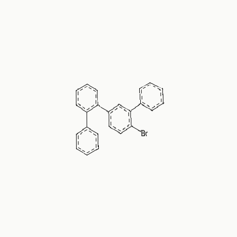 Brc1ccc(-c2ccccc2-c2ccccc2)cc1-c1ccccc1